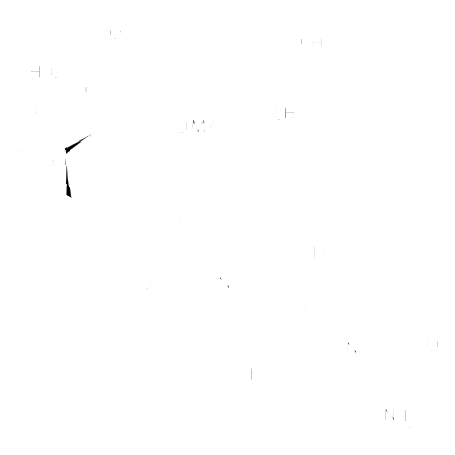 CO[C@@H]1[C@H](OC(=O)N2C[C@H]3CN(C(N)=O)C[C@H]3C2)CC[C@]2(CO2)[C@H]1[C@@]1(C)O[C@@H]1CC=C(C)C